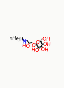 CCCCCCCNCC(O)CO[C@H]1O[C@H](CO)[C@H](O)[C@H](O)[C@H]1O